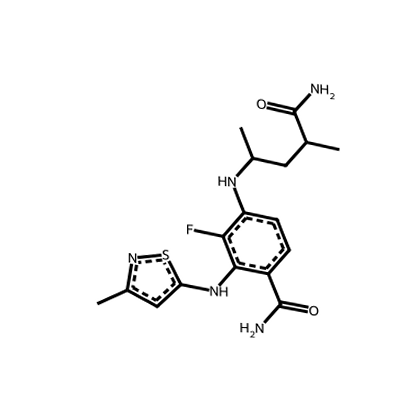 Cc1cc(Nc2c(C(N)=O)ccc(NC(C)CC(C)C(N)=O)c2F)sn1